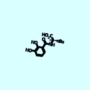 CCCC[C@H](NC(=O)c1cccc(O)c1O)C(=O)O